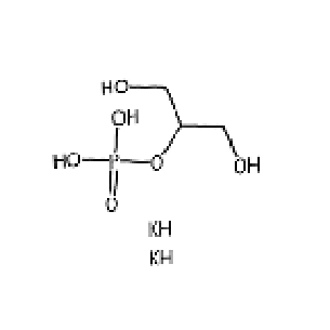 O=P(O)(O)OC(CO)CO.[KH].[KH]